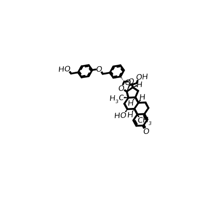 C[C@]12C=CC(=O)C=C1CC[C@@H]1[C@@H]2[C@@H](O)C[C@@]2(C)[C@H]1C[C@H]1O[C@@H](c3cccc(COc4ccc(CO)cc4)c3)O[C@]12C(=O)CO